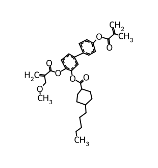 C=C(C)C(=O)Oc1ccc(-c2ccc(OC(=O)C(=C)COC)c(OC(=O)C3CCC(CCCCC)CC3)c2)cc1